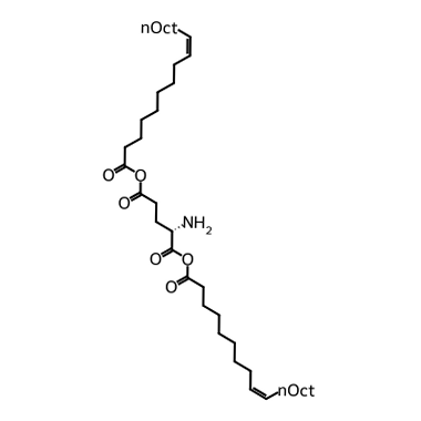 CCCCCCCC/C=C\CCCCCCCC(=O)OC(=O)CC[C@H](N)C(=O)OC(=O)CCCCCCC/C=C\CCCCCCCC